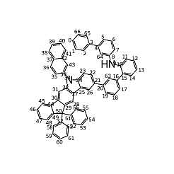 c1ccc(-c2cccc(Nc3ccccc3-c3cccc(-c4ccc5c(c4)c4cc6c(cc4n5-c4ccc5ccccc5c4)-c4ccccc4C6(c4ccccc4)c4ccccc4)c3)c2)cc1